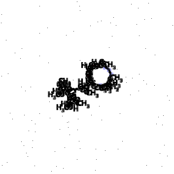 CO[C@H]1C[C@@H]2CC[C@@H](C)[C@@](O)(O2)C(=O)C(=O)N2CCCC[C@H]2C(=O)O[C@H]([C@H](C)C[C@@H]2CC[C@@H](OC(=O)CCC(CCOC(=O)c3c(I)c(NC(C)=O)c(I)c(NC(C)=O)c3I)CCOC(=O)c3c(I)c(NC(C)=O)c(I)c(NC(C)=O)c3I)[C@H](OC)C2)CC(=O)[C@H](C)/C=C(\C)[C@@H](O)[C@@H](OC)C(=O)[C@H](C)C[C@H](C)/C=C/C=C/C=C/1C